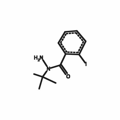 CC(C)(C)N(N)C(=O)c1ccccc1I